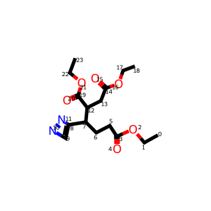 CCOC(=O)CCC(C1=CN=N1)C(CC(=O)OCC)C(=O)OCC